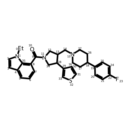 CCn1ccc2cccc(C(=O)N3CC(CN4CCC(c5ccc(F)cc5)CC4)C(c4ccsc4)C3)c21